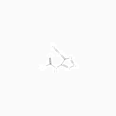 CC(=O)NC1=NN=NC1=[N+]=[N-]